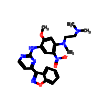 COc1cc(N(C)CCN(C)C)c([N+](=O)[O-])cc1Nc1nccc(-c2noc3ccccc23)n1